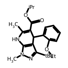 CCOc1ccccc1C1C(C(=O)OC(C)C)=C(C)Nc2c1c(C(C)(C)C)nn2C